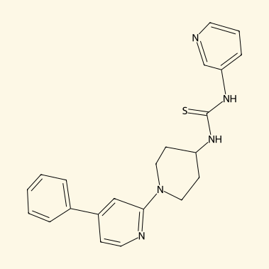 S=C(Nc1cccnc1)NC1CCN(c2cc(-c3ccccc3)ccn2)CC1